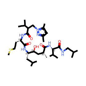 CSCC[C@H](NC(=O)C(Cn1nc(C)cc1C)C(C)C)C(=O)N[C@@H](CC(C)C)[C@@H](O)C[C@@H](C)C(=O)N[C@H](C(=O)NCC(C)C)C(C)C